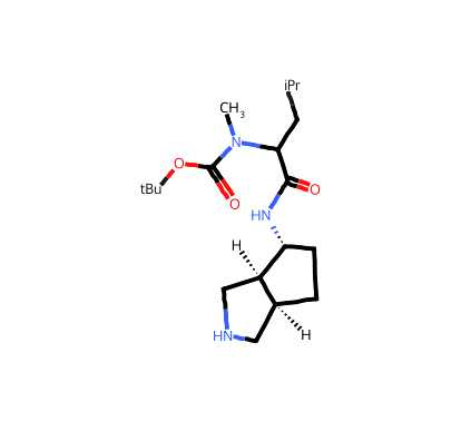 CC(C)CC(C(=O)N[C@@H]1CC[C@H]2CNC[C@H]21)N(C)C(=O)OC(C)(C)C